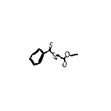 CCOC(=O)CSC(=S)c1ccccc1